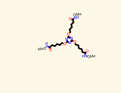 CONC(=O)CCCCCOc1nc(OCCCCCC(=O)NOC)nc(OCCCCCC(=O)NOC)n1